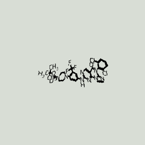 CC(C)(C)OC(=O)N1CCN(c2ccc(Nc3ncc4c(=O)n(-c5c(Cl)cccc5Cl)c5nccn5c4n3)cc2C(F)(F)F)CC1